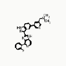 CN(C)Cc1cncc(-c2ccc3[nH]nc(-c4nc5c(-c6ccccc6F)nccc5[nH]4)c3c2)c1